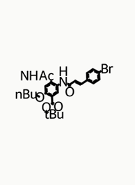 CCCCOc1cc(NC(C)=O)c(NC(=O)C=Cc2ccc(Br)cc2)cc1C(=O)OC(C)(C)C